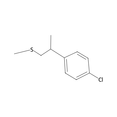 CSCC(C)c1ccc(Cl)cc1